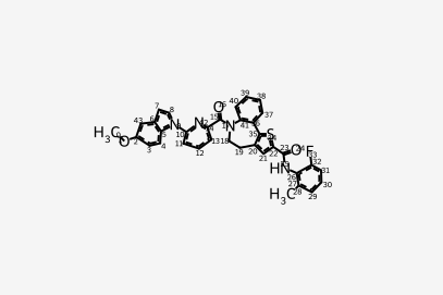 COc1ccc2c(ccn2-c2cccc(C(=O)N3CCc4cc(C(=O)Nc5c(C)cccc5F)sc4-c4ccccc43)n2)c1